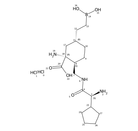 Cl.Cl.N[C@H](C(=O)NC[C@@H]1CC[C@@H](CCB(O)O)C[C@]1(N)C(=O)O)C1CCCC1